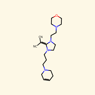 N#CC(C#N)=C1N(CCCN2CC=CCC2)CCN1CCN1CCOCC1